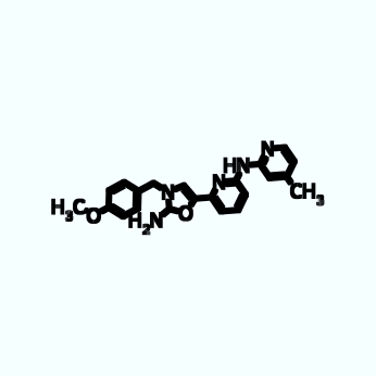 COc1ccc(CN2C=C(c3cccc(Nc4cc(C)ccn4)n3)OC2N)cc1